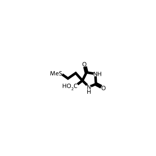 CSCCC1(C(=O)O)NC(=O)NC1=O